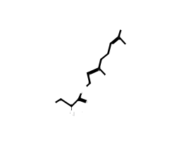 CC(=O)N[C@@H](CS)C(=O)OC/C=C(\C)CCC=C(C)C